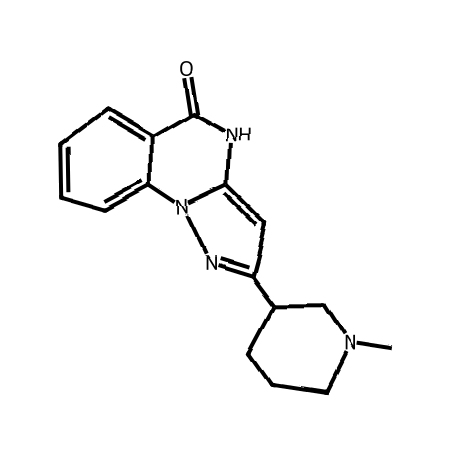 CN1CCCC(c2cc3[nH]c(=O)c4ccccc4n3n2)C1